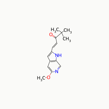 COc1cc2cc(/C=C/C(=O)C(C)(C)C)[nH]c2cn1